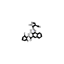 N#Cc1cn[nH]c1/N=N/c1c(O)c(C(=O)Nc2c(F)cccc2F)cc2ccccc12